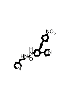 O=C(NCCc1cccnc1)Nc1ccc(-c2ccncc2)c(C#Cc2ccc([N+](=O)[O-])cc2)c1